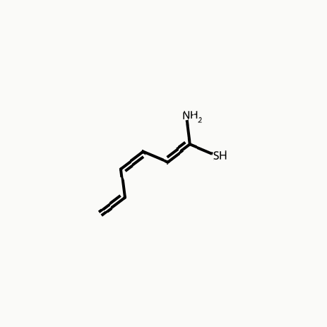 C=C/C=C\C=C(/N)S